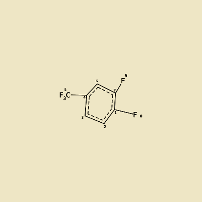 Fc1ccc(C(F)(F)F)cc1F